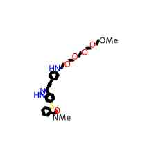 CNC(=O)c1ccccc1Sc1ccc2c(C#Cc3ccc(NCCOCCOCCOCCOCCOC)cc3)n[nH]c2c1